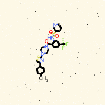 Cc1ccc(-c2csc(N3CCN(C(=O)c4ccc(C(F)(F)F)cc4NS(=O)(=O)c4cccnc4)CC3)n2)cc1